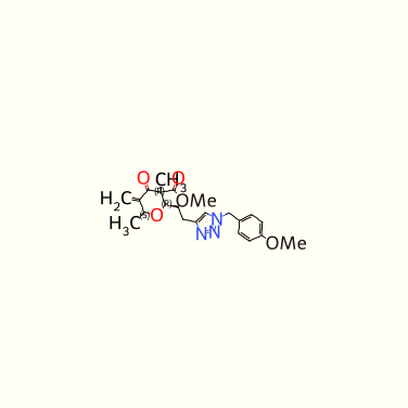 C=C1C(=O)[C@](C)(C(=O)OC)[C@@H](CCc2cn(Cc3ccc(OC)cc3)nn2)O[C@H]1C